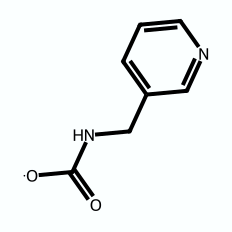 [O]C(=O)NCc1cccnc1